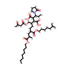 CCCCCCCCOC(=O)C(C)CC(CCC(COC(=O)CC(C)=O)C(C(=O)O)C(C(=O)O)C(CC)N1CCCC1=O)C(=O)OCCCCCC(C)C